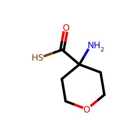 NC1(C(=O)S)CCOCC1